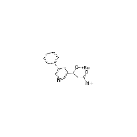 CC(C)(C)OC(CC([NH])=O)c1cncc(-c2ccccc2)c1